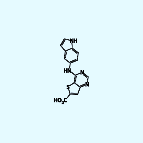 O=C(O)c1cc2ncnc(Nc3ccc4[nH]ccc4c3)c2s1